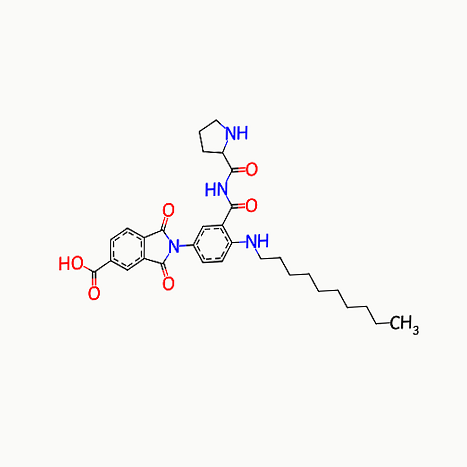 CCCCCCCCCCNc1ccc(N2C(=O)c3ccc(C(=O)O)cc3C2=O)cc1C(=O)NC(=O)C1CCCN1